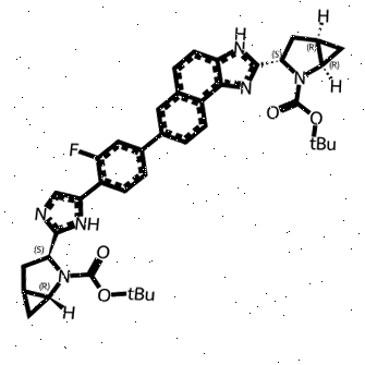 CC(C)(C)OC(=O)N1[C@@H]2CC2C[C@H]1c1ncc(-c2ccc(-c3ccc4c(ccc5[nH]c([C@@H]6C[C@H]7C[C@H]7N6C(=O)OC(C)(C)C)nc54)c3)cc2F)[nH]1